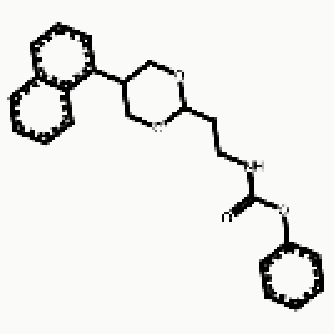 O=C(NCCC1OCC(c2cccc3ccccc23)CO1)Oc1ccccc1